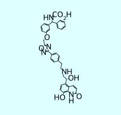 O=C(O)NC(c1ccccc1)c1cccc(OCc2nc(-c3ccc(CCNC[C@H](O)c4ccc(O)c5[nH]c(=O)ccc45)cc3)no2)c1